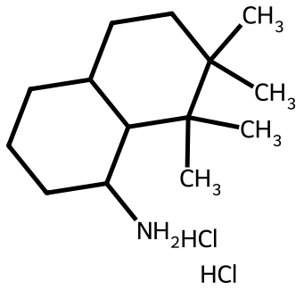 CC1(C)CCC2CCCC(N)C2C1(C)C.Cl.Cl